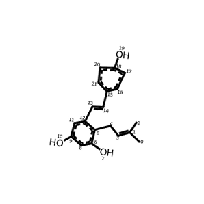 CC(C)=CCc1c(O)cc(O)cc1C=Cc1ccc(O)cc1